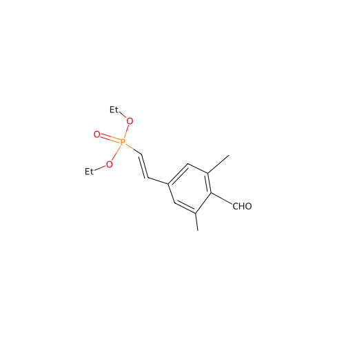 CCOP(=O)(C=Cc1cc(C)c(C=O)c(C)c1)OCC